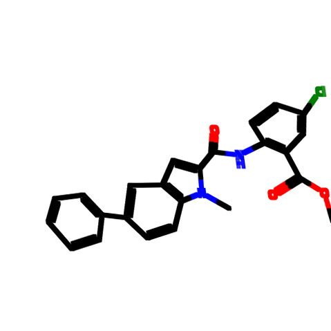 COC(=O)c1cc(Cl)ccc1NC(=O)c1cc2cc(-c3ccccc3)ccc2n1C